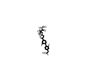 C[C@@H](O)Cc1ccc(-c2ccc(C3=NO[C@@H](CC(C)(C(=O)NO)S(C)(=O)=O)C3)cc2F)c(F)c1